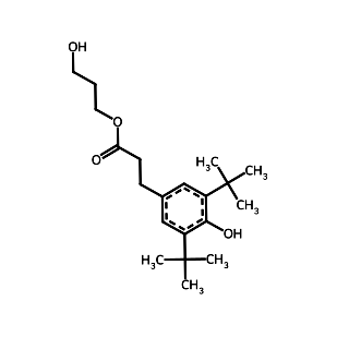 CC(C)(C)c1cc(CCC(=O)OCCCO)cc(C(C)(C)C)c1O